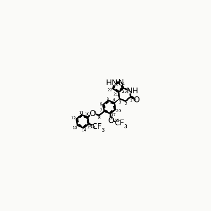 O=C1C[C@@H](c2ccc(COc3ccccc3C(F)(F)F)c(OC(F)(F)F)c2)c2c[nH]nc2N1